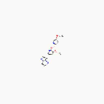 COc1ccc(COc2ncc(Cc3ccnc4cc(F)cnc34)cc2OC)nc1